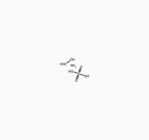 N.O=CO.O=S(=O)(O)O